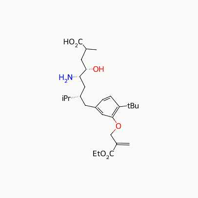 C=C(COc1cc(C[C@@H](C[C@H](N)[C@@H](O)CC(C)C(=O)O)C(C)C)ccc1C(C)(C)C)C(=O)OCC